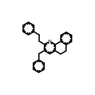 c1ccc(CCc2nc3c(cc2Cc2ccccc2)CCc2ccccc2-3)cc1